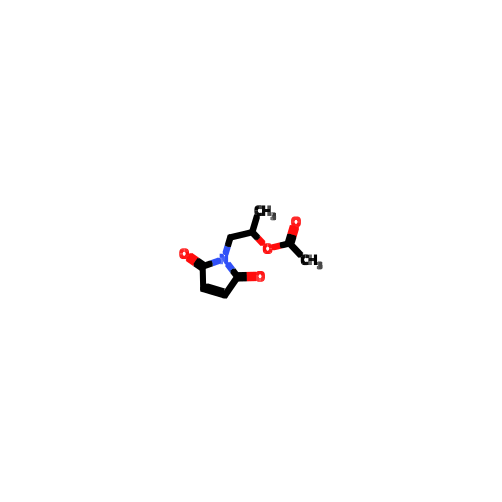 CC(=O)OC(C)CN1C(=O)C=CC1=O